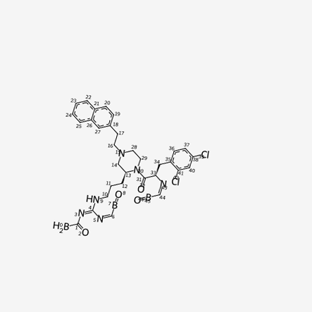 BC(=O)/N=C(\N=C/B=O)NCCC[C@H]1CN(CCc2ccc3ccccc3c2)CCN1C(=O)[C@@H](Cc1ccc(Cl)cc1Cl)/N=C\B=O